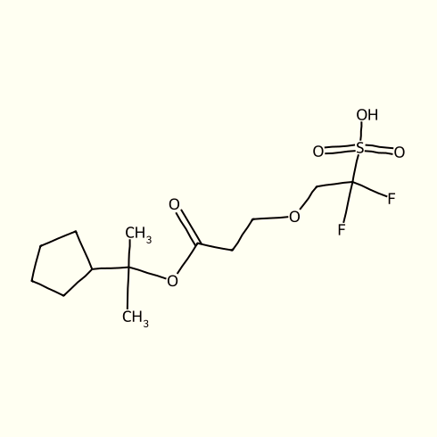 CC(C)(OC(=O)CCOCC(F)(F)S(=O)(=O)O)C1CCCC1